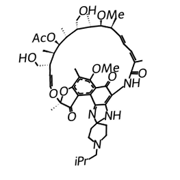 COc1c(C)c2c3c4c1C(=O)C(=C1NC5(CCN(CC(C)C)CC5)N=C14)NC(=O)/C(C)=C\C=C\[C@H](C)[C@H](OC)[C@@H](C)[C@@H](CO)[C@@H](C)[C@H](OC(C)=O)[C@H](C)[C@@H](CO)/C=C/O[C@@](C)(O2)C3=O